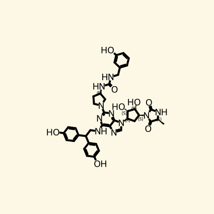 C[C@@H]1NC(=O)N([C@H]2C[C@@H](n3cnc4c(NCC(c5ccc(O)cc5)c5ccc(O)cc5)nc(N5CC[C@@H](NC(=O)NCc6cccc(O)c6)C5)nc43)[C@H](O)[C@@H]2O)C1=O